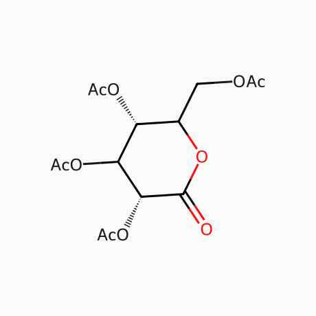 CC(=O)OCC1OC(=O)[C@H](OC(C)=O)C(OC(C)=O)[C@@H]1OC(C)=O